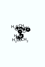 C=C(/C=C\C(=C)c1ccc2c(c1)N(C(=O)Oc1ccccn1)CC(C)N2C(C)=O)NS(C)(=O)=O